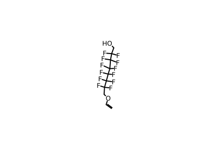 C=COCC(F)(F)C(F)(F)C(F)(F)C(F)(F)C(F)(F)C(F)(F)CO